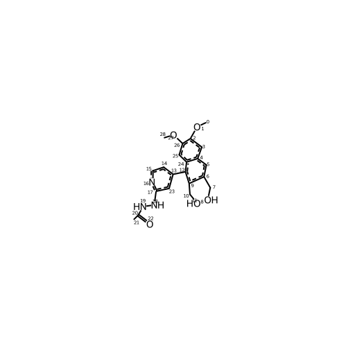 COc1cc2cc(CO)c(CO)c(-c3ccnc(NNC(C)=O)c3)c2cc1OC